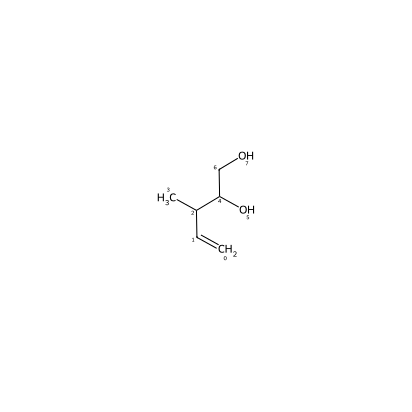 C=CC(C)C(O)CO